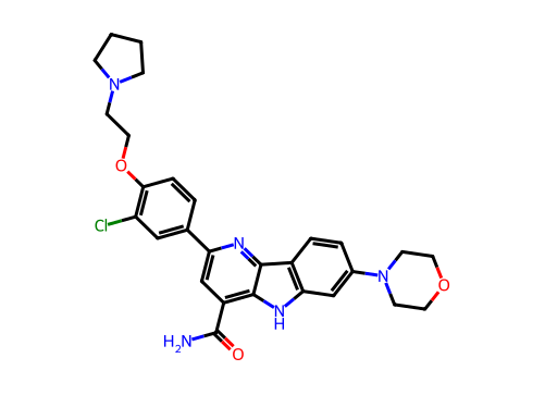 NC(=O)c1cc(-c2ccc(OCCN3CCCC3)c(Cl)c2)nc2c1[nH]c1cc(N3CCOCC3)ccc12